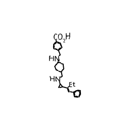 CC/C(=C\c1ccccc1)C1CC1NCC1CCC(NCc2ccc(C(=O)O)cc2)CC1